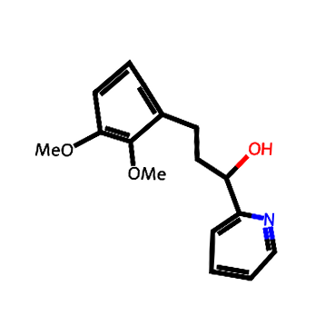 COc1cccc(CCC(O)c2ccccn2)c1OC